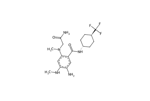 CNc1cc(N(C)CC(N)=O)c(C(=O)N[C@H]2CC[C@H](C(F)(F)F)CC2)cc1N